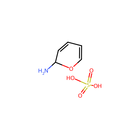 NC1C=CC=CO1.O=S(=O)(O)O